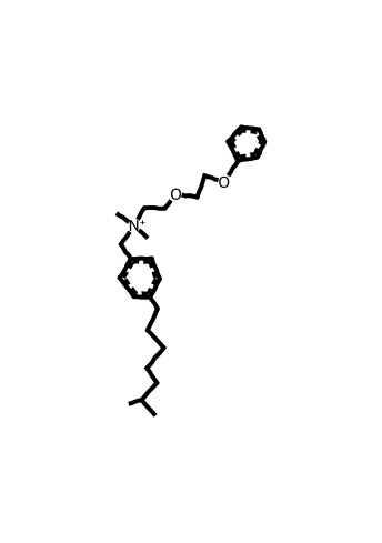 CC(C)CCCCCc1ccc(C[N+](C)(C)CCOCCOc2ccccc2)cc1